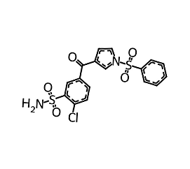 NS(=O)(=O)c1cc(C(=O)c2ccn(S(=O)(=O)c3ccccc3)c2)ccc1Cl